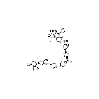 CC(=O)c1c(C)c2cnc(Nc3ccc(N4CCN(C(=O)N5CCC(CN6CCC(c7ccc8c(c7)CN(C7CCC(=O)NC7=O)C8=O)CC6)CC5)CC4)cn3)nc2n(C2CCCC2)c1=O